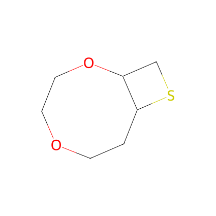 C1COC2CSC2CCO1